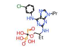 CCC(COC(O)(P=O)P(=O)(O)O)Nc1nc(Nc2cccc(Cl)c2)c2ncn(C(C)C)c2n1